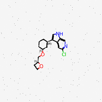 Clc1cc2c([C@@H]3CCC[C@H](OC[C@@H]4CCO4)C3)c[nH]c2cn1